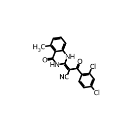 Cc1cccc2c1C(=O)N/C(=C(\C#N)C(=O)c1ccc(Cl)cc1Cl)N2